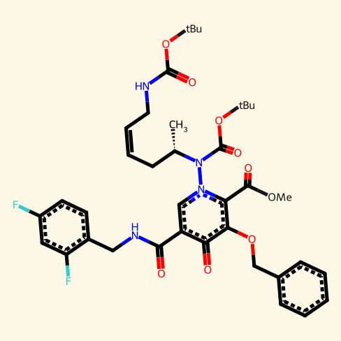 COC(=O)c1c(OCc2ccccc2)c(=O)c(C(=O)NCc2ccc(F)cc2F)cn1N(C(=O)OC(C)(C)C)[C@@H](C)C/C=C\CNC(=O)OC(C)(C)C